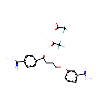 N=C(N)c1ccc(C(=O)CCCOc2cccc(C(=N)N)c2)cc1.O=C(O)C(F)(F)F.O=C(O)C(F)(F)F